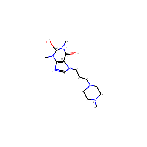 CN1CCN(CCCn2cnc3c2C(=O)N(C)C(O)N3C)CC1